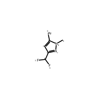 CC(C)c1cc(C(F)F)nn1C